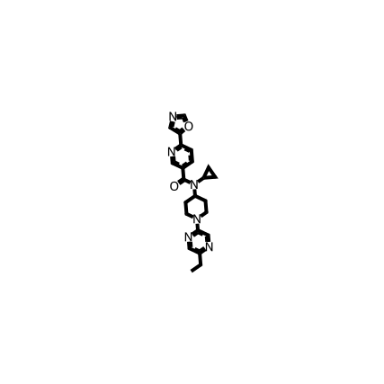 CCc1cnc(N2CCC(N(C(=O)c3ccc(-c4cnco4)nc3)C3CC3)CC2)cn1